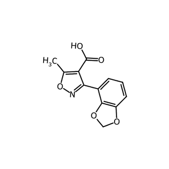 Cc1onc(-c2cccc3c2OCO3)c1C(=O)O